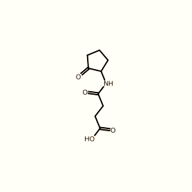 O=C(O)CCC(=O)NC1CCCC1=O